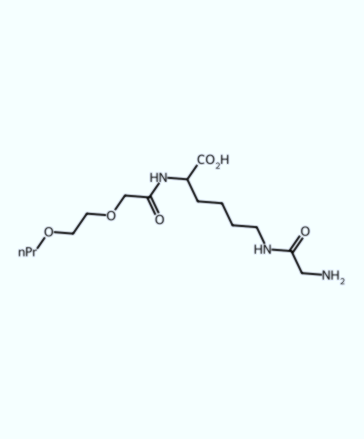 CCCOCCOCC(=O)NC(CCCCNC(=O)CN)C(=O)O